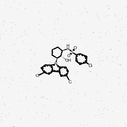 O=S(=O)(N[C@@H]1CCC[C@H](n2c3ccc(Cl)cc3c3cc(Cl)ccc32)[C@H]1O)c1ccc(Cl)cc1